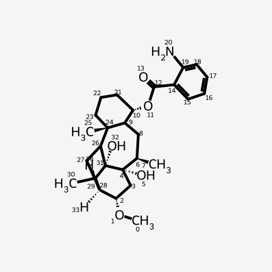 CO[C@H]1C[C@]2(O)[C@H](C)CC3[C@@H](OC(=O)c4ccccc4N)CCC[C@@]3(C)C3C[C@H]1[C@H](C)[C@@]32O